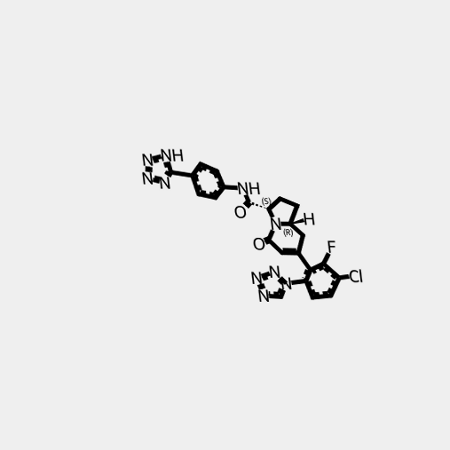 O=C(Nc1ccc(-c2nnn[nH]2)cc1)[C@@H]1CC[C@@H]2CC(c3c(-n4cnnn4)ccc(Cl)c3F)=CC(=O)N21